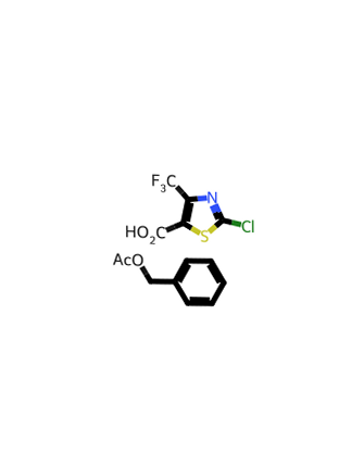 CC(=O)OCc1ccccc1.O=C(O)c1sc(Cl)nc1C(F)(F)F